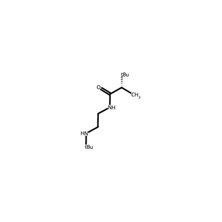 C[C@H](C(=O)NCCNC(C)(C)C)C(C)(C)C